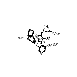 COc1cncc2c1[C@]1(O)[C@H](O)C(CN(C)CCO)[C@@H](c3ccccc3)[C@]1(c1ccc(C#N)cc1)O2